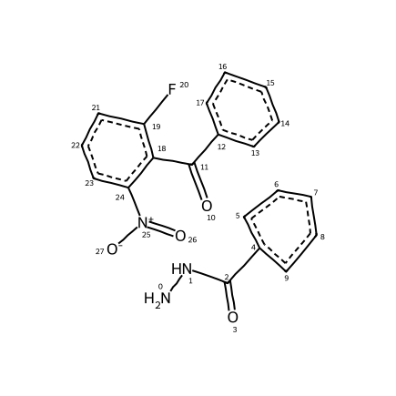 NNC(=O)c1ccccc1.O=C(c1ccccc1)c1c(F)cccc1[N+](=O)[O-]